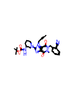 CC#CCn1c(N2CCC[C@@H](NC(=O)OC(C)(C)C)C2)nc2c(=O)n(C)n(Cc3ccccc3C#N)c(=O)c21